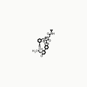 CC(C)Cn1cc(-c2ccc3nc(C(C(=O)NCC(=O)NC4CC4)S(=O)(=O)Cc4cccc(C#N)c4)sc3c2)ccc1=O